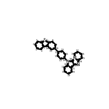 c1ccc2c(c1)sc1ccc(-c3ccc(-n4c5ccccc5c5nc6ccccn6c54)cc3)cc12